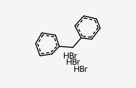 Br.Br.Br.c1ccc(Cc2ccccc2)cc1